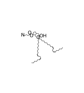 CCCCC/C=C\C/C=C\CCCCCCCCC(CCCCCCCC/C=C\C/C=C\CCCCC)OC(O)CC1CCC(OC(=O)CCCN(C)C)C1C